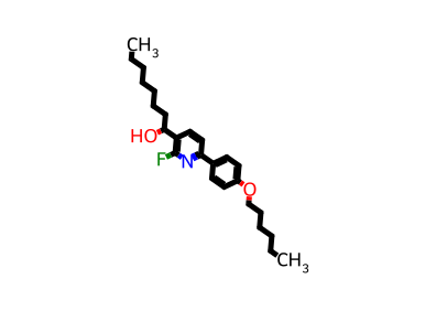 CCCCCCCC(O)c1ccc(-c2ccc(OCCCCCC)cc2)nc1F